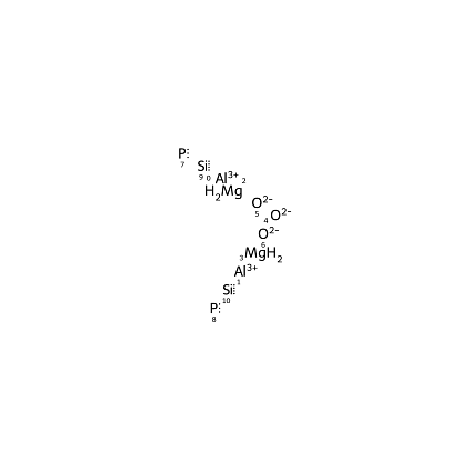 [Al+3].[Al+3].[MgH2].[MgH2].[O-2].[O-2].[O-2].[P].[P].[Si].[Si]